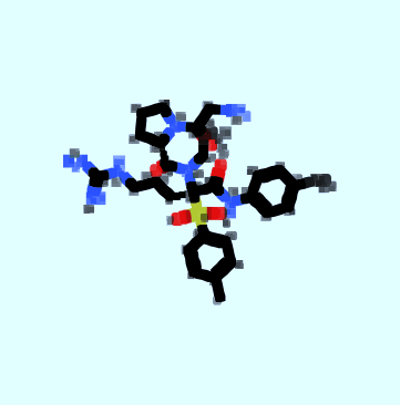 Cc1ccc(S(=O)(=O)[C@](CCCNC(=N)N)(C(=O)Nc2ccc([N+](=O)[O-])cc2)N(CC(=O)O)C(=O)[C@@H]2CCCN2C(=O)CN)cc1